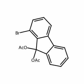 CC(=O)OC1(OC(C)=O)c2ccccc2-c2cccc(Br)c21